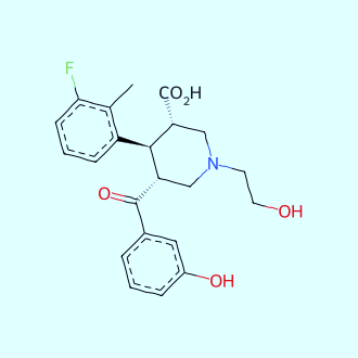 Cc1c(F)cccc1[C@@H]1[C@@H](C(=O)c2cccc(O)c2)CN(CCO)C[C@H]1C(=O)O